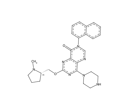 CN1CCC[C@H]1COc1nc(N2CCNCC2)c2ncn(-c3cccc4ccccc34)c(=O)c2n1